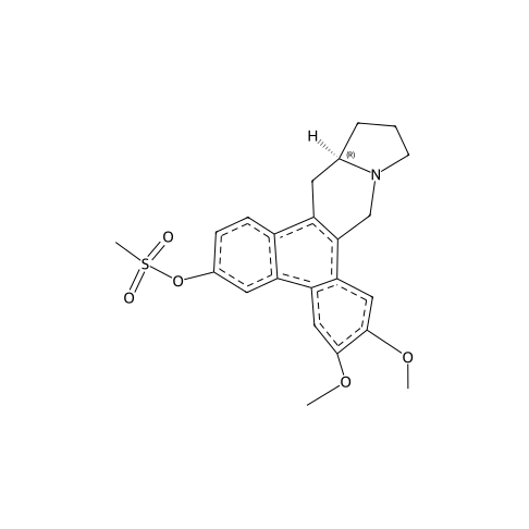 COc1cc2c3c(c4ccc(OS(C)(=O)=O)cc4c2cc1OC)C[C@H]1CCCN1C3